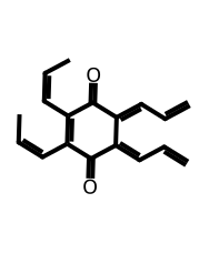 C=C/C=C1/C(=O)C(/C=C\C)=C(/C=C\C)C(=O)/C1=C/C=C